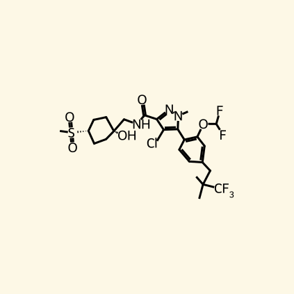 Cn1nc(C(=O)NC[C@]2(O)CC[C@@H](S(C)(=O)=O)CC2)c(Cl)c1-c1ccc(CC(C)(C)C(F)(F)F)cc1OC(F)F